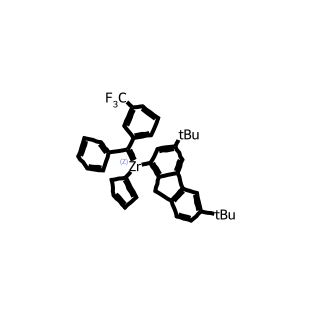 CC(C)(C)c1ccc2c(c1)-c1cc(C(C)(C)C)c[c](/[Zr]([C]3=CC=CC3)=[C](/c3ccccc3)c3cccc(C(F)(F)F)c3)c1C2